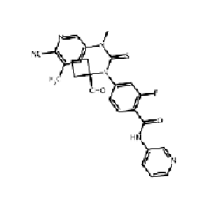 CN(C(=S)N(c1ccc(C(=O)Nc2cccnc2)c(F)c1)C1(C=O)CCC1)c1cnc(C#N)c(C(F)(F)F)c1